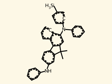 CC1(C)c2cc(Nc3ccccc3)ccc2-c2c1cc(N(c1ccccc1)c1ccc([SiH3])cc1)c1ccccc21